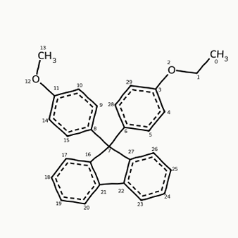 CCOc1ccc(C2(c3ccc(OC)cc3)c3ccccc3-c3ccccc32)cc1